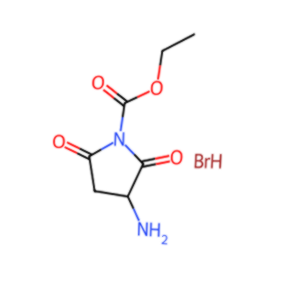 Br.CCOC(=O)N1C(=O)CC(N)C1=O